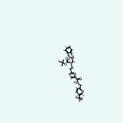 CC(C)(C)OC(=O)N(CCc1nc(C(=O)NCc2ccc(C(F)(F)F)cn2)cs1)Cc1nc2ccccc2[nH]1